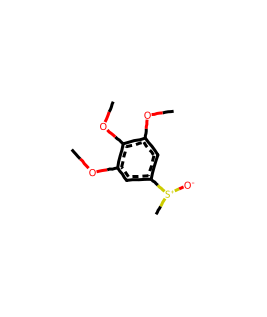 COc1cc([S+](C)[O-])cc(OC)c1OC